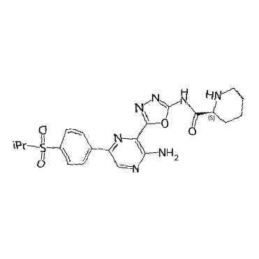 CC(C)S(=O)(=O)c1ccc(-c2cnc(N)c(-c3nnc(NC(=O)[C@@H]4CCCCN4)o3)n2)cc1